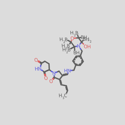 BC1(B)OC(B)(B)C(B)(O)N(Cc2ccc(CN\C=C3/CN(C4CCC(=O)NC4=O)C(=O)/C3=C/C=C\C)cc2)C1(B)B